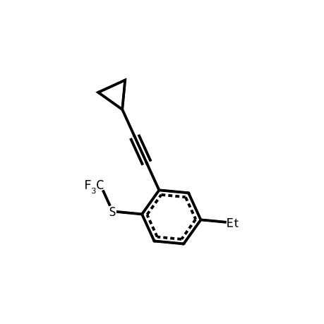 CCc1ccc(SC(F)(F)F)c(C#CC2CC2)c1